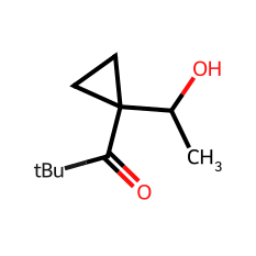 CC(O)C1(C(=O)C(C)(C)C)CC1